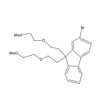 COCCOCCC1(CCOCCOC)c2ccccc2-c2ccc(Br)cc21